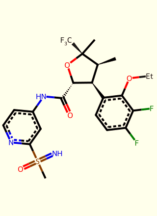 CCOc1c([C@H]2[C@H](C(=O)Nc3ccnc(S(C)(=N)=O)c3)O[C@@](C)(C(F)(F)F)[C@H]2C)ccc(F)c1F